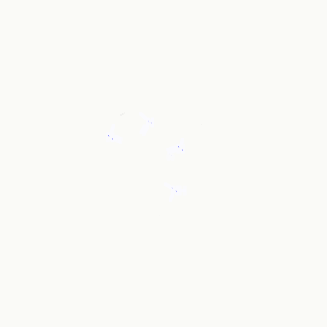 CC/N=C(/CNC)c1cnccn1